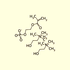 C=C(C)C(=O)OCCOP(=O)([O-])[O-].C[N+](C)(C)CCO.C[N+](C)(C)CCO